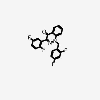 O=c1c(-c2cc(F)ccc2F)nn(Cc2ccc(F)cc2F)c2ccccc12